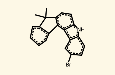 CC1(C)c2ccccc2-c2c1ccc1[nH]c3ccc(Br)cc3c21